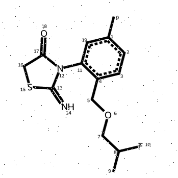 Cc1ccc(COCC(C)F)c(N2C(=N)SCC2=O)c1